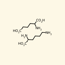 NC(CCCC(=O)O)C(=O)O.NCCCC[C@H](N)C(=O)O